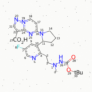 CN(CCc1ncc(F)cc1C1CCCN1c1ccn2ncc(C(=O)O)c2n1)NC(=O)OC(C)(C)C